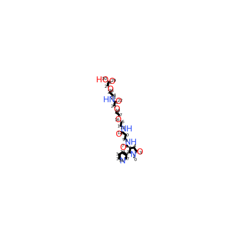 CN1C(=O)C[C@H](C(=O)NCCC(=O)NCCOCCOCC(=O)NCCOCC(=O)O)[C@H]1c1cccnc1